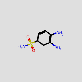 NC1=C(N)CC(S(N)(=O)=O)C=C1